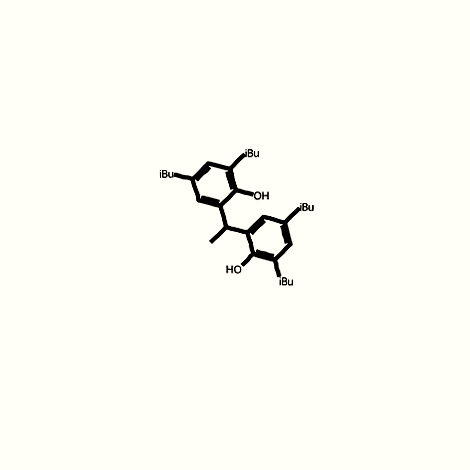 CCC(C)c1cc(C(C)CC)c(O)c(C(C)c2cc(C(C)CC)cc(C(C)CC)c2O)c1